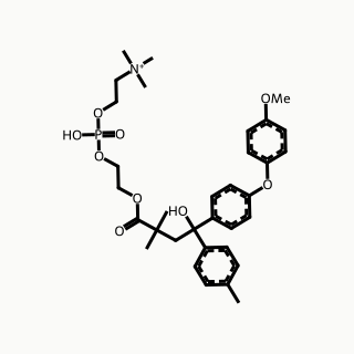 COc1ccc(Oc2ccc(C(O)(CC(C)(C)C(=O)OCCOP(=O)(O)OCC[N+](C)(C)C)c3ccc(C)cc3)cc2)cc1